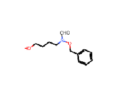 O=CN(CCCCO)OCc1ccccc1